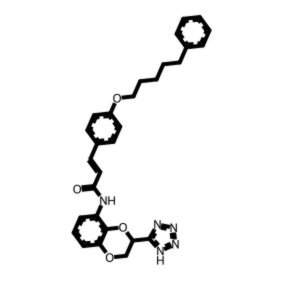 O=C(C=Cc1ccc(OCCCCCc2ccccc2)cc1)Nc1cccc2c1OC(c1nnn[nH]1)CO2